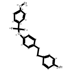 CCCc1ccc(CCc2ccc(OC(F)(F)c3ccc(OCC)cc3)cc2)cc1